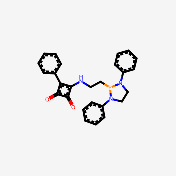 O=c1c(NCCP2N(c3ccccc3)CCN2c2ccccc2)c(-c2ccccc2)c1=O